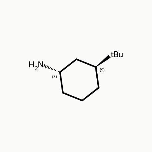 CC(C)(C)[C@H]1CCC[C@H](N)C1